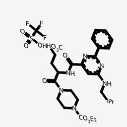 CCOC(=O)N1CCN(C(=O)C(CCC(=O)O)NC(=O)c2cc(NCC(C)C)nc(-c3ccccc3)n2)CC1.O=S(=O)(O)C(F)(F)F